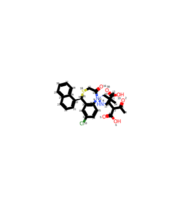 CC(=O)C(C(=O)O)[C@H](N[N@+]1(CC(C)(C)C)C(=O)CS[C@H](c2cccc3ccccc23)c2cc(Cl)ccc21)C(=O)O